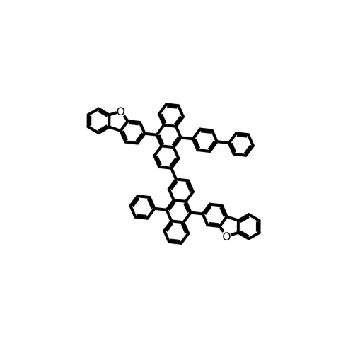 c1ccc(-c2ccc(-c3c4ccccc4c(-c4ccc5c(c4)oc4ccccc45)c4ccc(-c5ccc6c(-c7ccc8c(c7)oc7ccccc78)c7ccccc7c(-c7ccccc7)c6c5)cc34)cc2)cc1